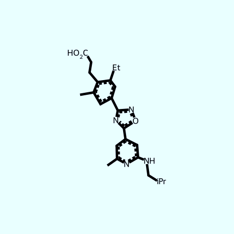 CCc1cc(-c2noc(-c3cc(C)nc(NCC(C)C)c3)n2)cc(C)c1CCC(=O)O